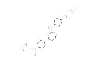 CN(C)CCNc1ccc(-c2ccnc(Nc3ccc(N4CCN(C)CC4)cc3)n2)cn1